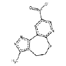 Cc1nnc2n1CCOc1ncc([N+](=O)[O-])cc1-2